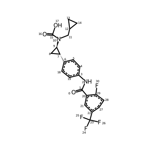 O=C(Nc1ccc([C@@H]2C[C@H]2N(CC2CC2)C(=O)O)cc1)c1cc(C(F)(F)F)ccc1F